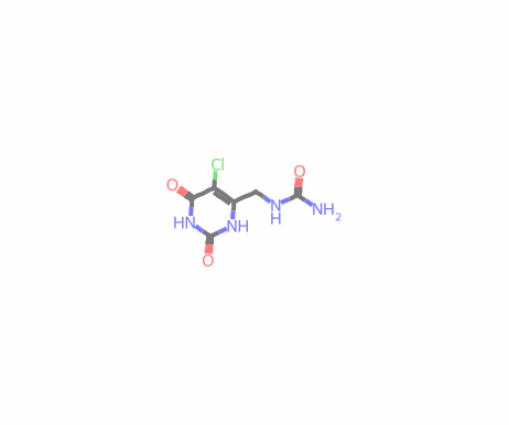 NC(=O)NCc1[nH]c(=O)[nH]c(=O)c1Cl